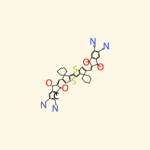 N#Cc1cc2c(cc1C#N)C(=O)C(=CC1=Cc3sc4c5c(sc4c3C13CCCCC3)C=C(C=C1C(=O)c3cc(C#N)c(C#N)cc3C1=O)C51CCCCC1)C2=O